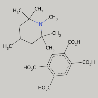 CC1CC(C)(C)N(C)C(C)(C)C1.O=C(O)c1cc(C(=O)O)c(C(=O)O)cc1C(=O)O